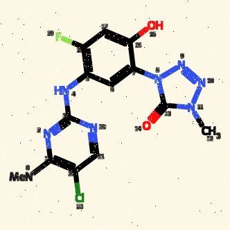 CNc1nc(Nc2cc(-n3nnn(C)c3=O)c(O)cc2F)ncc1Cl